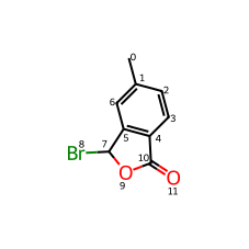 Cc1ccc2c(c1)C(Br)OC2=O